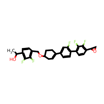 CC(O)c1ccc(COC2CC=C(c3ccc(-c4ccc(C5CO5)c(F)c4F)c(F)c3)CC2)c(F)c1F